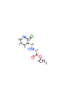 COC(=O)CNCc1cccnc1Cl